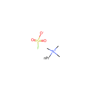 CCC[N+](C)(C)C.O=S(=O)([O-])F